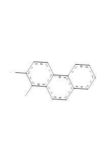 Cc1ccc2c(ccc3ccccc32)c1I